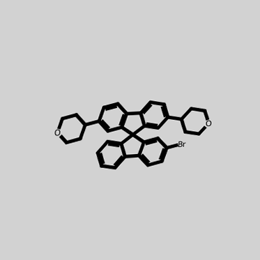 Brc1ccc2c(c1)C1(c3ccccc3-2)c2cc(C3CCOCC3)ccc2-c2ccc(C3CCOCC3)cc21